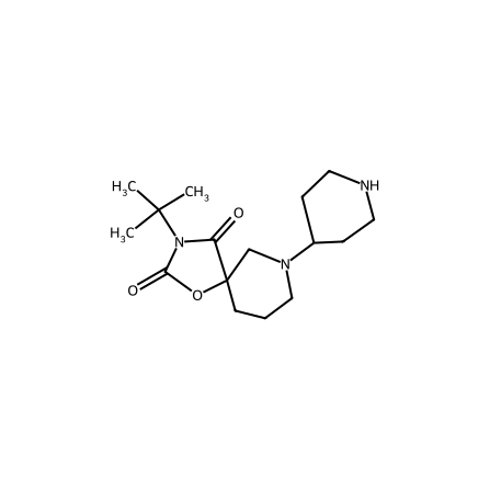 CC(C)(C)N1C(=O)OC2(CCCN(C3CCNCC3)C2)C1=O